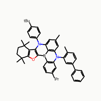 Cc1cc2c3c(c1)N(c1ccc(C(C)(C)C)cc1)c1c(oc4c1C(C)(C)CCC4(C)C)B3c1ccc(C(C)C)cc1N2c1cc(-c2ccccc2)ccc1C